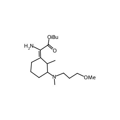 COCCCN(C)C1CCC/C(=C(\N)C(=O)OCC(C)C)C1C